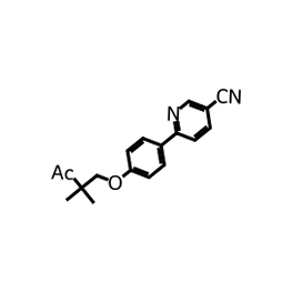 CC(=O)C(C)(C)COc1ccc(-c2ccc(C#N)cn2)cc1